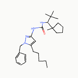 CCCCCc1cc(NC(=O)NC(C(C)(C)C)C2(C)CCCC2)nn1Cc1ccccc1